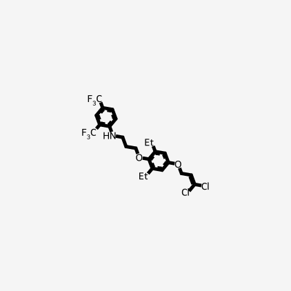 CCc1cc(OCC=C(Cl)Cl)cc(CC)c1OCCCNc1ccc(C(F)(F)F)cc1C(F)(F)F